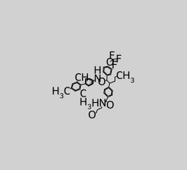 CCCC(c1ccc(C(=O)NCCC=O)cc1)C(ONc1ccc(-c2c(C)cc(C)cc2C)cc1)c1ccc(OC(F)(F)F)cc1